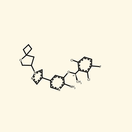 C[C@@H](Oc1cc(-c2cnn(C3COC4(CCC4)C3)c2)cnc1N)c1c(Cl)ccc(F)c1Cl